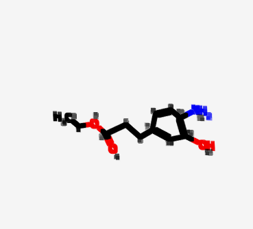 CCOC(=O)CCc1ccc(N)c(O)c1